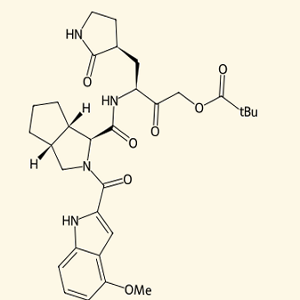 COc1cccc2[nH]c(C(=O)N3C[C@@H]4CCC[C@@H]4[C@H]3C(=O)N[C@@H](C[C@@H]3CCNC3=O)C(=O)COC(=O)C(C)(C)C)cc12